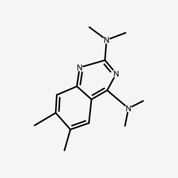 Cc1cc2nc(N(C)C)nc(N(C)C)c2cc1C